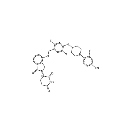 N#Cc1ccc(N2CCC(Sc3cc(F)c(COc4cccc5c4CN([C@@H]4CCC(=O)NC4=O)C5=O)cc3F)CC2)c(F)c1